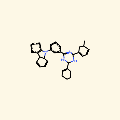 CC1C=CC=C(C2N=C(c3cccc(N4c5ccccc5C5C=CC=CC54)c3)NC(C3=CCCCC3)N2)C1